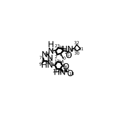 Cc1cc(Nc2ncc(C)c(Nc3ccc4oc(=O)[nH]c4c3)n2)ccc1C(=O)NC1CCC1